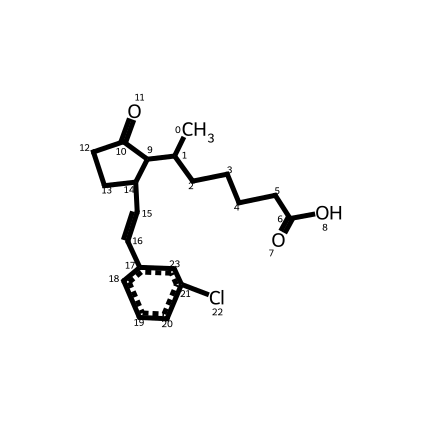 CC(CCCCC(=O)O)C1C(=O)CCC1/C=C/c1cccc(Cl)c1